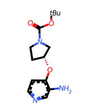 CC(C)(C)OC(=O)N1CC[C@@H](Oc2ccncc2N)C1